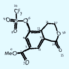 COC(=O)c1cc(OS(=O)(=O)C(F)(F)F)c2c(c1)C(=O)OCC2